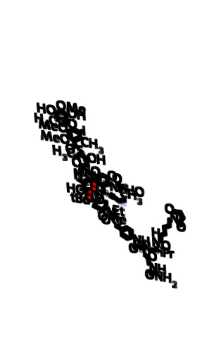 C/C=C\C#C[C@H](O[C@@H]1O[C@H](C)C(/C=N\O[C@H]2C[C@H](O)[C@H](SC(=O)c3c(C)c(I)c(O[C@@H]4O[C@@H](C)[C@H](O)[C@@H](OC)[C@H]4O)c(OC)c3OC)[C@@H](C)O2)[C@H](O)[C@H]1O[C@H]1C[C@H](OC)[C@@H](N(CC)C(=O)OCc2ccc(NC(=O)[C@H](CCCNC(N)=O)NC(=O)[C@@H](NC(=O)CCCCCN3C(=O)C=CC3=O)C(C)C)cc2)CO1)C1=C(NC(=O)C=O)C(=O)C[C@](N)(O)/C1=C/CSSC(C)(C)C